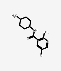 Cc1ncc(Cl)cc1C(=O)NC1CCC(C)CC1